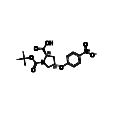 CC(C)(C)OC(=O)N1C[C@@H](Oc2ccc([N+](=O)[O-])cc2)C[C@@H]1C(=O)O